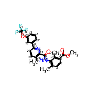 COC(=O)c1ccc(C)c(NC(=O)c2nc(-c3cccc(OC(F)(F)F)c3)ccc2C)c1C